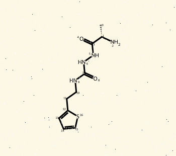 C[C@H](N)C(=O)NNC(=O)NCCc1cccs1